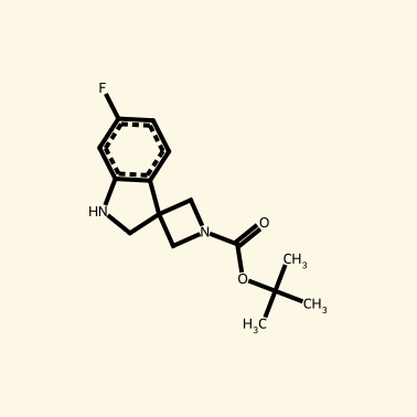 CC(C)(C)OC(=O)N1CC2(CNc3cc(F)ccc32)C1